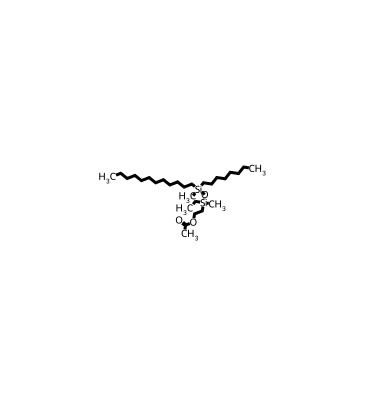 CCCCCCCCCCCC[Si](C)(CCCCCCCC)O[Si](C)(CC)CCOC(C)=O